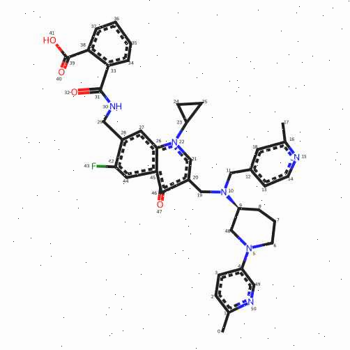 Cc1ccc(N2CCC[C@H](N(Cc3ccnc(C)c3)Cc3cn(C4CC4)c4cc(CNC(=O)c5ccccc5C(=O)O)c(F)cc4c3=O)C2)cn1